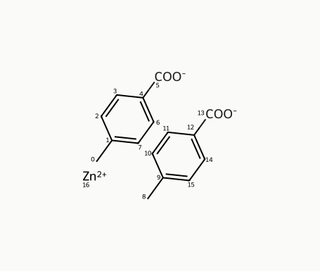 Cc1ccc(C(=O)[O-])cc1.Cc1ccc(C(=O)[O-])cc1.[Zn+2]